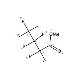 COS(=O)C(C)(F)C(F)(F)C(C)(C)F